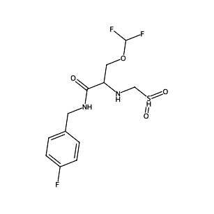 O=C(NCc1ccc(F)cc1)C(COC(F)F)NC[SH](=O)=O